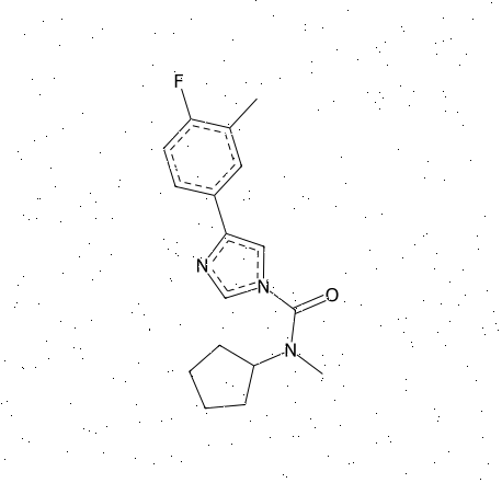 Cc1cc(-c2cn(C(=O)N(C)C3CCCC3)cn2)ccc1F